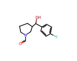 O=CN1CCCC(C(O)c2ccc(F)cc2)C1